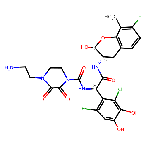 NCCN1CCN(C(=O)N[C@@H](C(=O)N[C@H]2Cc3ccc(F)c(C(=O)O)c3OB2O)c2c(F)cc(O)c(O)c2Cl)C(=O)C1=O